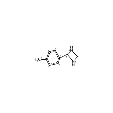 Cc1ccc(C2NCN2)cc1